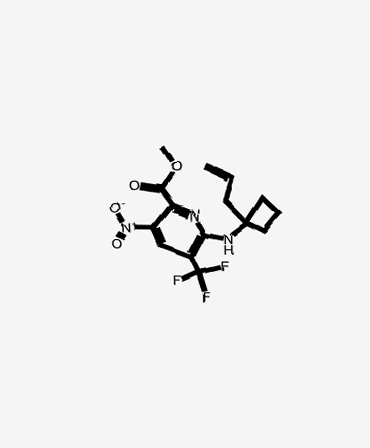 C=CCC1(Nc2nc(C(=O)OC)c([N+](=O)[O-])cc2C(F)(F)F)CCC1